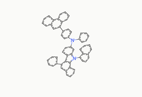 c1ccc(-c2cc3ccccc3c3c2c2ccc(N(c4ccccc4)c4ccc(-c5cc6ccccc6c6ccccc56)cc4)cc2n3-c2cccc3ccccc23)cc1